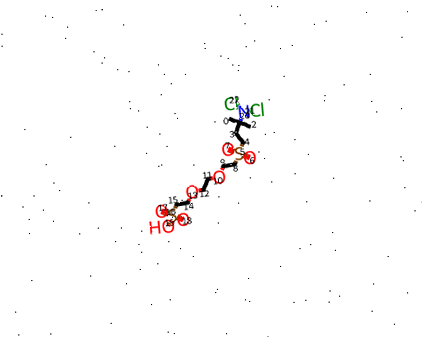 CC(C)(CCS(=O)(=O)CCOCCOCCS(=O)(=O)O)N(Cl)Cl